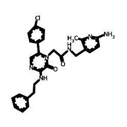 Cc1nc(N)ccc1CNC(=O)Cn1c(-c2ccc(Cl)cc2)cnc(NCCc2ccccc2)c1=O